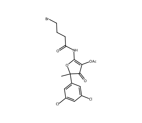 CC(=O)OC1=C(NC(=O)CCCBr)OC(C)(c2cc(Cl)cc(Cl)c2)C1=O